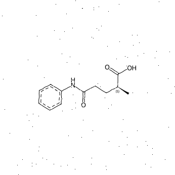 C[C@@H](CCC(=O)Nc1ccccc1)C(=O)O